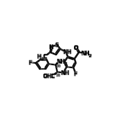 Cc1cc(Nc2cc(N[C@@H](C=O)[C@H](N)c3ccc(F)cc3)c(F)cc2C(N)=O)sn1